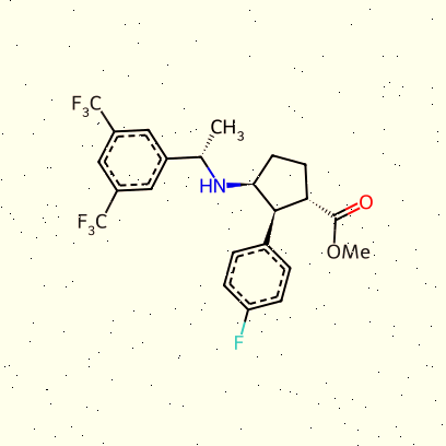 COC(=O)[C@H]1CC[C@H](N[C@@H](C)c2cc(C(F)(F)F)cc(C(F)(F)F)c2)[C@@H]1c1ccc(F)cc1